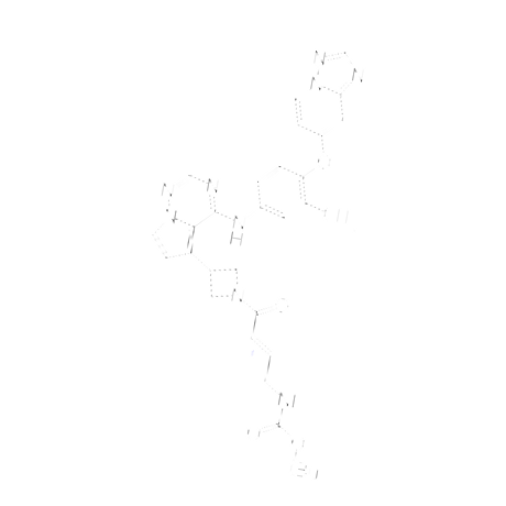 Cc1cc(Nc2ncnn3ccc(C4CN(C(=O)/C=C/CNC(=O)OC(C)(C)C)C4)c23)ccc1Oc1ccn2ncnc2c1